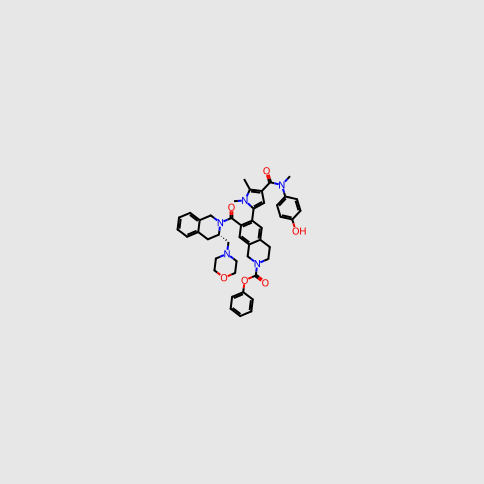 Cc1c(C(=O)N(C)c2ccc(O)cc2)cc(-c2cc3c(cc2C(=O)N2Cc4ccccc4C[C@H]2CN2CCOCC2)CN(C(=O)Oc2ccccc2)CC3)n1C